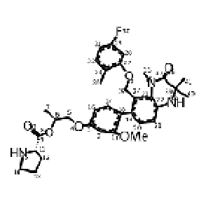 COc1cc(OC[C@H](C)OC(=O)[C@@H]2CCCN2)ccc1-c1ccc2c(c1COc1cc(F)ccc1C)N(C)C(=O)C(C)(C)N2